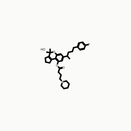 CC(CCCc1ccc(F)cc1)c1cc(OC(=O)CCCN2CCCCC2)c2c(c1)OC(C)(C)C1=C2CCC1.Cl